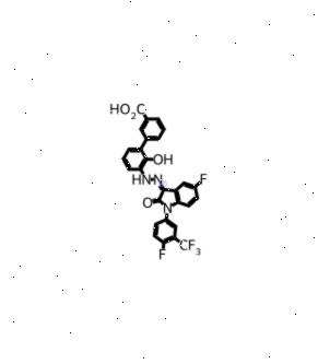 O=C(O)c1cccc(-c2cccc(N/N=C3\C(=O)N(c4ccc(F)c(C(F)(F)F)c4)c4ccc(F)cc43)c2O)c1